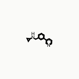 c1cncc(-c2cccc(CNC3CC3)c2)c1